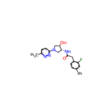 Cc1ccc(N2C[C@@H](O)[C@H](NC(=O)Cc3ccc(C(C)C)cc3F)C2)nn1